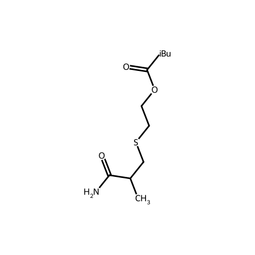 CCC(C)C(=O)OCCSCC(C)C(N)=O